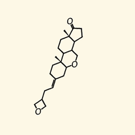 C[C@]12CC/C(=C\CC3COC3)CC1OCC1C2CC[C@]2(C)C(=O)CCC12